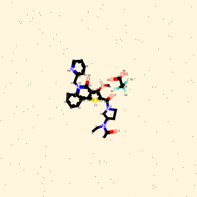 CCN(C(C)=O)C1CCN(C(=O)c2sc3c(c2OC)c(=O)n(Cc2ccccn2)c2ccccc32)C1.O=C(O)C(F)(F)F